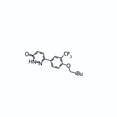 CCC(C)COc1ccc(-c2ccc(=O)[nH]n2)cc1C(F)(F)F